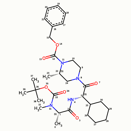 C[C@@H](C(=O)N[C@H](C(=O)N1CCN(C(=O)OCc2ccccc2)[C@@H](C)C1)C1CCCCC1)N(C)C(=O)OC(C)(C)C